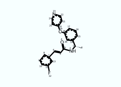 C[C@H](NC(=O)/C=C/c1cccc(F)c1)c1cccc(Oc2ccncc2)c1